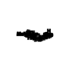 CNC(=O)c1ccccc1Nc1cc(Nc2cc(C)c(C3CCN(Cc4cc5c(cc4F)C(=O)N(C4CCC(=O)NC4=O)C5)CC3)cc2OC(C)C)ncc1C(F)(F)F